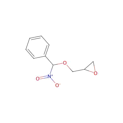 O=[N+]([O-])C(OCC1CO1)c1ccccc1